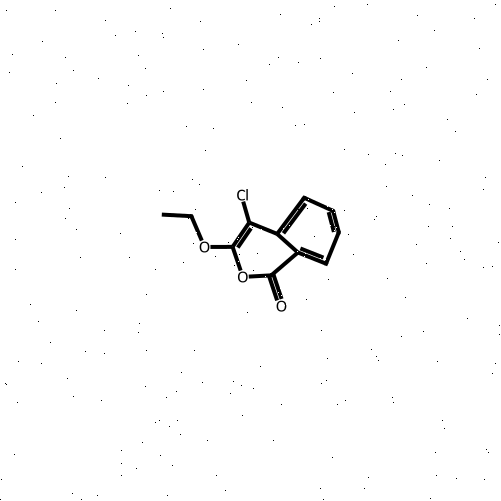 CCOc1oc(=O)c2ccccc2c1Cl